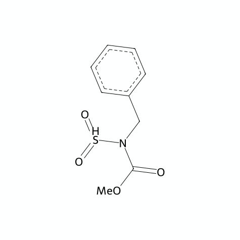 COC(=O)N(Cc1ccccc1)[SH](=O)=O